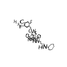 Cc1cc(F)c(COc2nsc(NC(=O)NCCCNC3CCCCC3)c2C(N)=O)cc1F